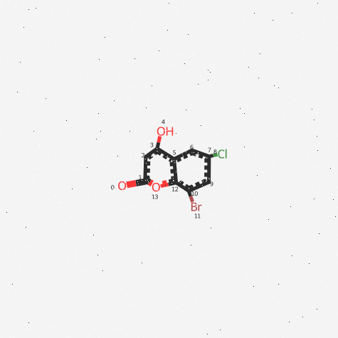 O=c1cc(O)c2cc(Cl)cc(Br)c2o1